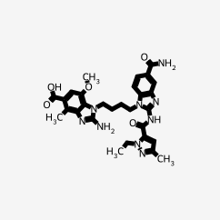 CCn1nc(C)cc1C(=O)Nc1nc2cc(C(N)=O)ccc2n1CCCCn1c(N)nc2c(C)c(C(=O)O)cc(OC)c21